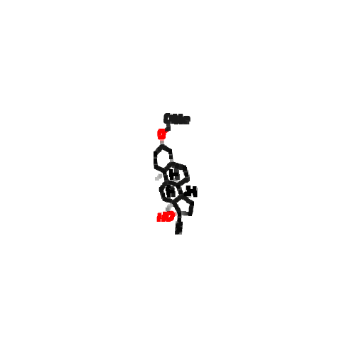 C#C[C@]1(O)CC[C@H]2[C@@H]3CC=C4C[C@@H](OCOC)CC[C@]4(C)[C@H]3CC[C@@]21C